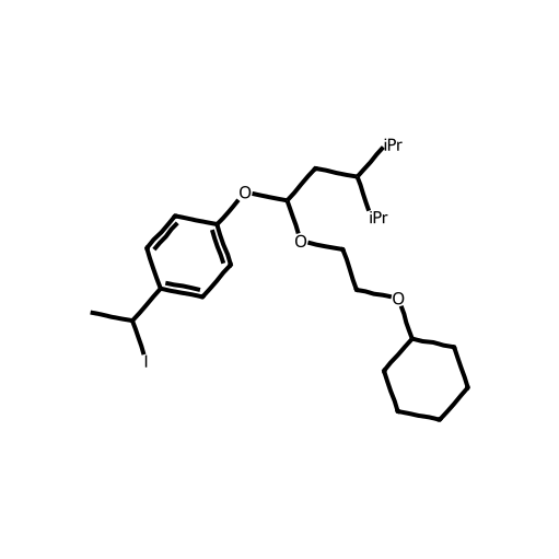 CC(I)c1ccc(OC(CC(C(C)C)C(C)C)OCCOC2CCCCC2)cc1